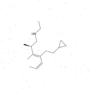 C/C=C\C(CCC1CC1)=C(/C)[C@@H](C)CNCC